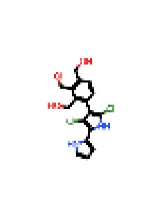 OCc1ccc(-c2c(Cl)[nH]c(-c3ccc[nH]3)c2Cl)c(CO)c1CO